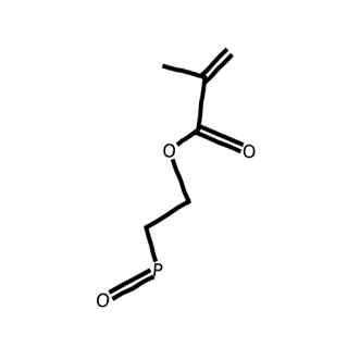 C=C(C)C(=O)OCCP=O